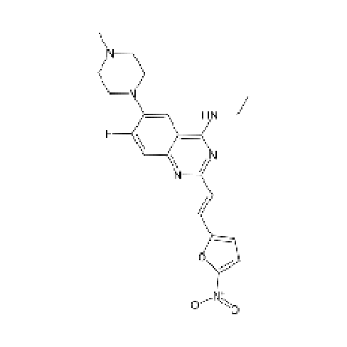 CCNc1nc(C=Cc2ccc([N+](=O)[O-])o2)nc2cc(F)c(N3CCN(C)CC3)cc12